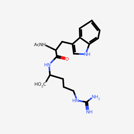 CC(=O)NC(Cc1c[nH]c2ccccc12)C(=O)NC(CCCNC(=N)N)C(=O)O